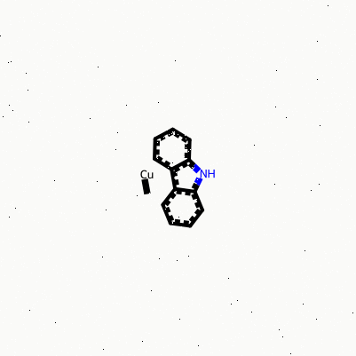 [CH2]=[Cu].c1ccc2c(c1)[nH]c1ccccc12